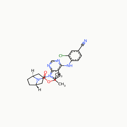 CC(C)OC(=O)N1[C@H]2CC[C@H]1CC(n1ccc3c(Nc4ccc(C#N)cc4Cl)ncnc31)C2